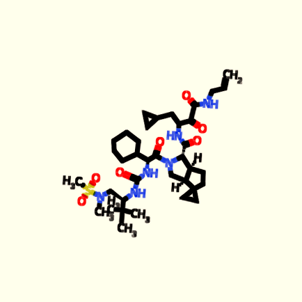 C=CCNC(=O)C(=O)C(CC1CC1)NC(=O)[C@@H]1[C@H]2CCC3(CC3)[C@H]2CN1C(=O)[C@@H](NC(=O)N[C@H](CN(C)S(C)(=O)=O)C(C)(C)C)C1CCCCC1